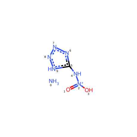 N.O=[N+](O)Nc1nnn[nH]1